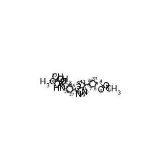 COC(=O)Cc1ccc(-c2csc3c(-c4ccc(NC(=O)OC(C)(C)C)cc4)ncnc23)cc1